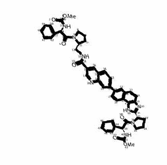 COC(=O)N[C@@H](C(=O)N1CCC[C@H]1CNC(=O)c1cnc2cc(-c3ccc4c(ccc5nc([C@@H]6CCCN6C(=O)[C@H](NC(=O)OC)c6ccccc6)[nH]c54)c3)ccc2c1)c1ccccc1